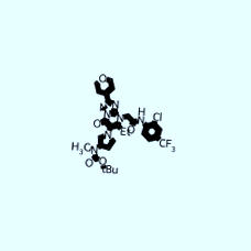 CCc1c(N2CCC(N(C)C(=O)OC(C)(C)C)C2)c(=O)n2nc(C3=CCOCC3)nc2n1CC(=O)Nc1ccc(C(F)(F)F)cc1Cl